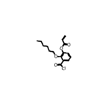 C=CC(=O)Oc1cccc(C(=O)Cl)c1OCCCCCC